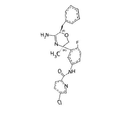 C[C@@]1(c2cc(NC(=O)c3ccc(Cl)cn3)ccc2F)CO[C@H](Cc2ccccc2)C(N)=N1